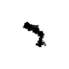 O=C(NS(=O)(=O)c1ccccc1)c1ccc(-n2ccc(COCCC3(C(F)(F)F)CC3)n2)nc1Cl